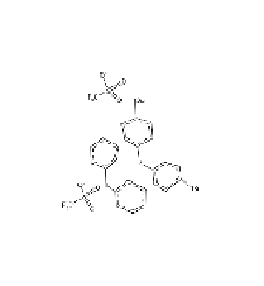 CC(C)(C)c1ccc([I+]c2ccc(C(C)(C)C)cc2)cc1.O=S(=O)([O-])C(F)(F)F.O=S(=O)([O-])C(F)(F)F.c1ccc([I+]c2ccccc2)cc1